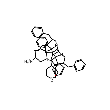 CCCC1C(Cc2ccccc2)CN2CC(Cc3ccccc3)C12N1CCC([15NH2])CC1[15N](C1CCNCC1)C12C(Cc3ccccc3)CN1CC(Cc1ccccc1)C2CCC